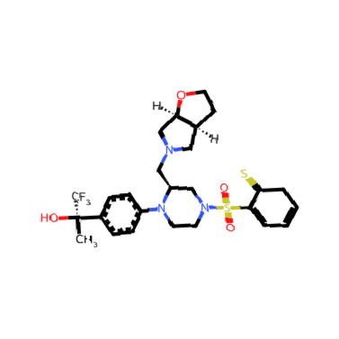 C[C@@](O)(c1ccc(N2CCN(S(=O)(=O)C3=CC=CCC3=S)C[C@@H]2CN2C[C@@H]3CCO[C@@H]3C2)cc1)C(F)(F)F